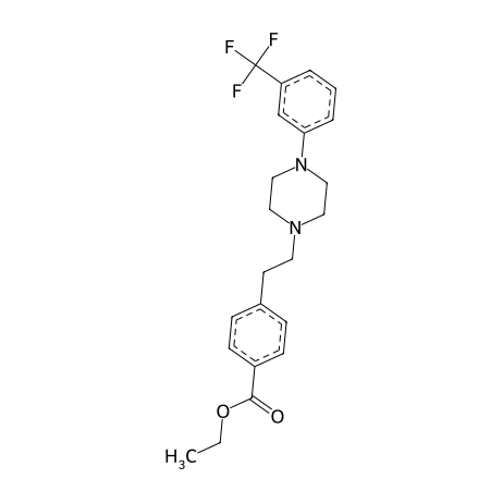 CCOC(=O)c1ccc(CCN2CCN(c3cccc(C(F)(F)F)c3)CC2)cc1